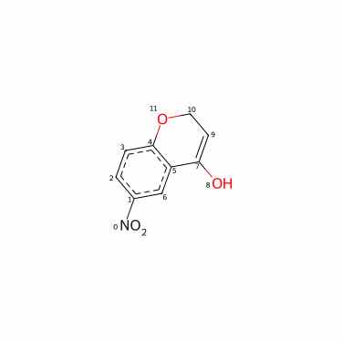 O=[N+]([O-])c1ccc2c(c1)C(O)=CCO2